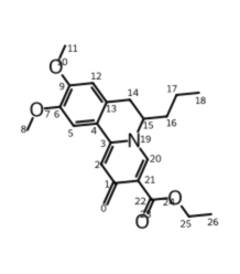 C=C1C=C2c3cc(OC)c(OC)cc3CC(CCC)N2C=C1C(=O)OCC